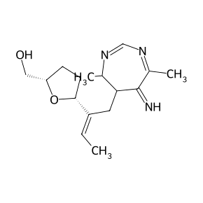 C/C=C(\CC1C(=N)C(C)=NC=NC1C)[C@H]1CC[C@@H](CO)O1